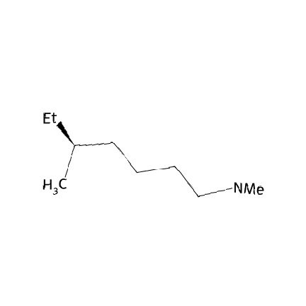 CC[C@H](C)CCCCNC